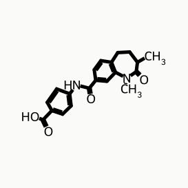 CC1CCc2ccc(C(=O)Nc3ccc(C(=O)O)cc3)cc2N(C)C1=O